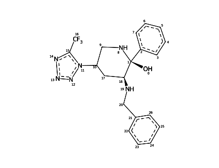 O[C@]1(c2ccccc2)NCC(n2nnnc2C(F)(F)F)C[C@@H]1NCc1ccccc1